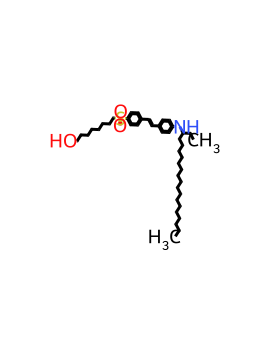 CCCCCCCCCCCCCCCCCC(CC)Nc1ccc(C=Cc2ccc(S(=O)(=O)CCCCCCCCO)cc2)cc1